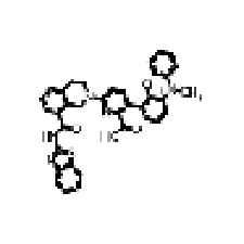 Cc1c(-c2ccc(N3CCc4cccc(C(=O)Nc5nc6ccccc6s5)c4C3)nc2C(=O)O)cccc1N(C)c1ccccc1